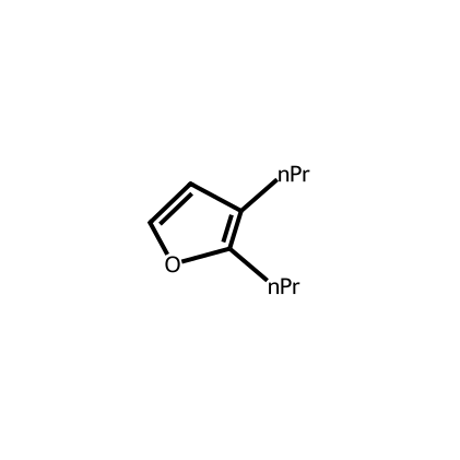 CCCc1ccoc1CCC